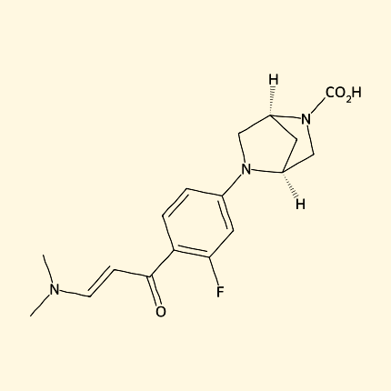 CN(C)/C=C/C(=O)c1ccc(N2C[C@@H]3C[C@H]2CN3C(=O)O)cc1F